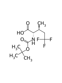 C[C@@H](CC(F)(F)F)[C@H](NC(=O)OC(C)(C)C)C(=O)O